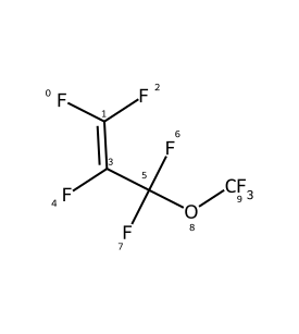 FC(F)=C(F)C(F)(F)OC(F)(F)F